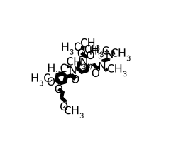 CCN(CCN(C)C)C(=O)C[C@@H]1CCC(N(C(=O)c2ccc(OC)c(OCCCOC)c2)C(C)C)CN1C(=O)OC(C)(C)C